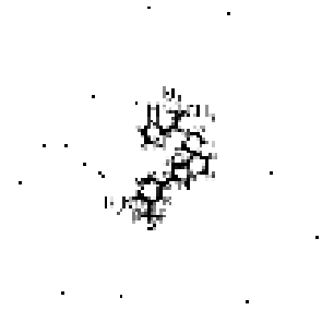 CC(C)C(c1ncc[nH]1)N1CC[C@@]2(CCn3nc(-c4cnc(N)c(C(F)(F)F)c4)cc32)C1